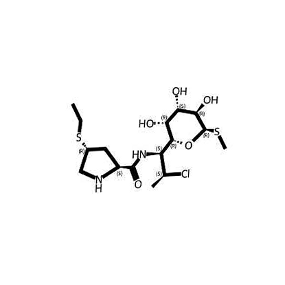 CCS[C@H]1CN[C@H](C(=O)N[C@@H]([C@H]2O[C@H](SC)[C@H](O)[C@@H](O)[C@H]2O)[C@H](C)Cl)C1